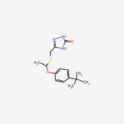 CC(Oc1ccc(C(C)(C)C)cc1)SCc1n[nH]c(=O)[nH]1